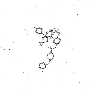 Cc1ccc(S(=O)(=O)N(CC2CC2)[C@@H]2c3cc(CC(=O)N4CCN(Cc5ccccc5)CC4)ccc3OC(C)(C)[C@H]2O)cc1